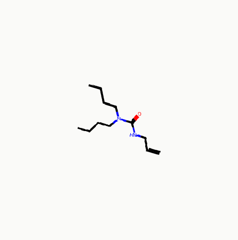 C=CCNC(=O)N(CCCC)CCCC